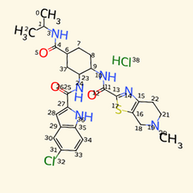 CC(C)NC(=O)C1CCC(NC(=O)c2nc3c(s2)CN(C)CC3)C(NC(=O)c2cc3cc(Cl)ccc3[nH]2)C1.Cl